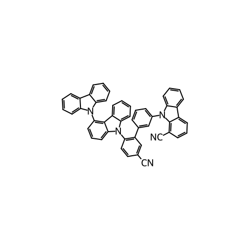 N#Cc1ccc(-n2c3ccccc3c3c(-n4c5ccccc5c5ccccc54)cccc32)c(-c2cccc(-n3c4ccccc4c4cccc(C#N)c43)c2)c1